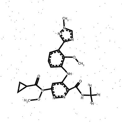 [2H]C([2H])([2H])NC(=O)c1nnc(N(OC)C(=O)C2CC2)cc1Nc1cccc(-c2ncn(C)n2)c1OC